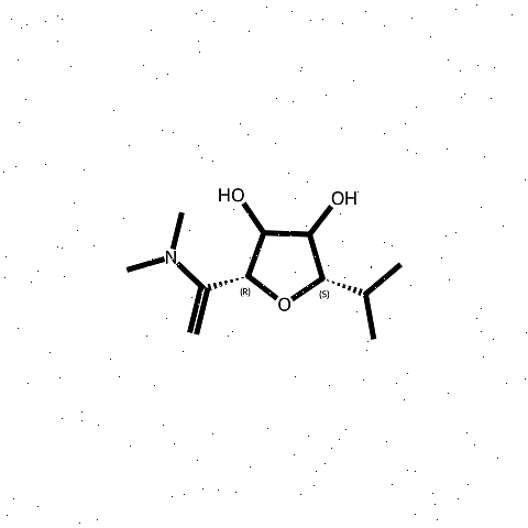 C=C([C@H]1O[C@@H](C(C)C)C(O)C1O)N(C)C